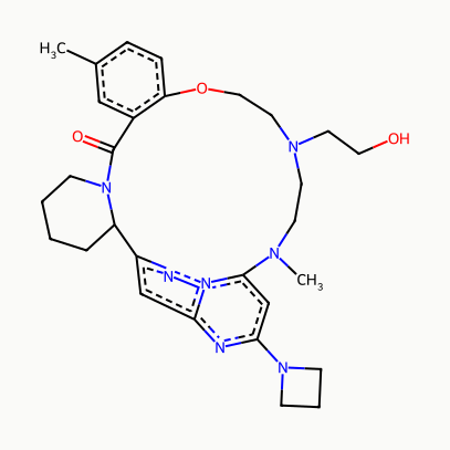 Cc1ccc2c(c1)C(=O)N1CCCCC1c1cc3nc(N4CCC4)cc(n3n1)N(C)CCN(CCO)CCO2